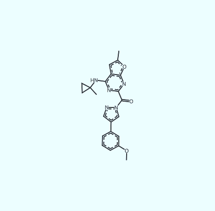 COc1cccc(-c2cnn(C(=O)c3nc(NC4(C)CC4)c4cc(C)oc4n3)c2)c1